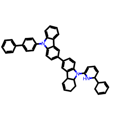 C1=CCC(C2C=CC=C(N3c4ccc(-c5ccc6c(c5)c5ccccc5n6-c5ccc(-c6ccccc6)cc5)cc4C4C=CCCC43)N2)C=C1